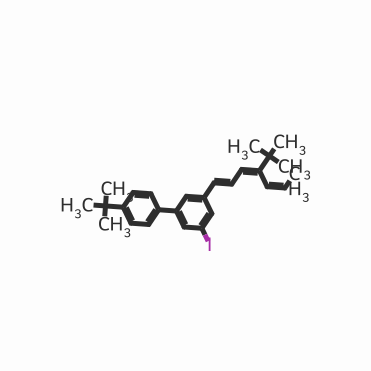 C\C=C/C(=C\C=C\c1cc(I)cc(-c2ccc(C(C)(C)C)cc2)c1)C(C)(C)C